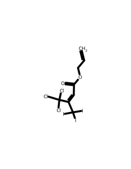 C=CCOC(=O)/C=C(\C(Cl)(Cl)Cl)C(I)(I)I